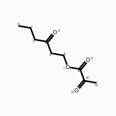 CCCC(=O)CCOC(=O)C(C)=O